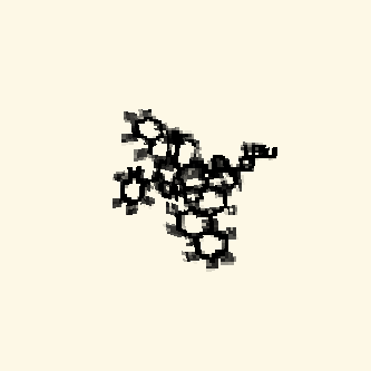 CC(C)C[C@H](NC(=O)[C@@H](CC(=O)OC(C)(C)C)Cc1cccc2ccccc12)C(=O)N[C@@H](CC1CCCCC1)[C@@H](O)c1ccccn1